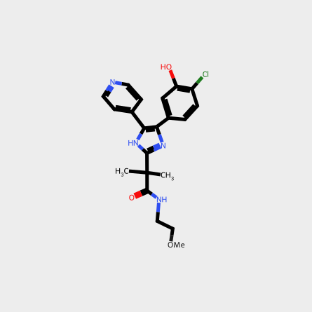 COCCNC(=O)C(C)(C)c1nc(-c2ccc(Cl)c(O)c2)c(-c2ccncc2)[nH]1